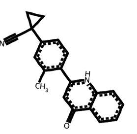 Cc1cc(C2(C#N)CC2)ccc1-c1cc(=O)c2ccccc2[nH]1